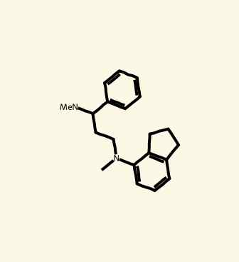 CNC(CCN(C)c1cccc2c1CCC2)c1ccccc1